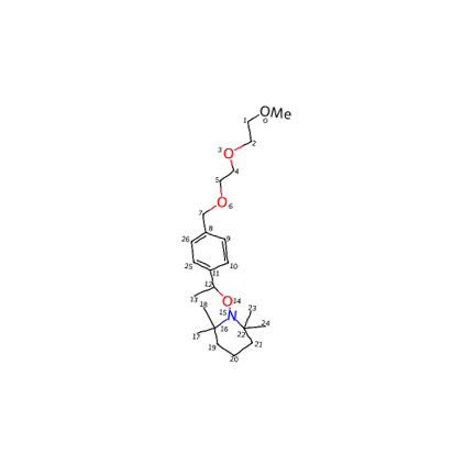 COCCOCCOCc1ccc(C(C)ON2C(C)(C)CCCC2(C)C)cc1